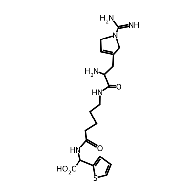 N=C(N)N1CC=C(CC(N)C(=O)NCCCCC(=O)NC(C(=O)O)c2cccs2)C1